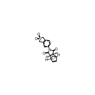 O=C1[C@@H]2[C@H](C(=O)N1c1ccc3c(c1)CS(=O)(=O)C3)[C@@H]1C=C[C@H]2C1